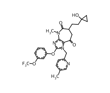 Cc1ccc(Cn2c(Oc3cccc(OC(F)(F)F)c3)nc3c2C(=O)CC(CCC2(O)CC2)C(=O)N3C)nc1